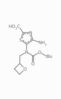 CC(C)(C)OC(=O)N(CC1CCO1)c1sc(C(=O)O)nc1N